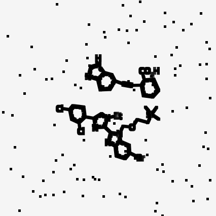 CCn1cc(-c2ccc(Cl)cc2Cl)nc1-c1nc2ccc(Br)cc2n1COCC[Si](C)(C)C.O=C(O)c1ccccc1C#Cc1ccc2nc[nH]c2c1